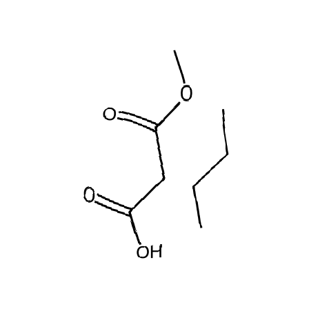 CCCC.COC(=O)CC(=O)O